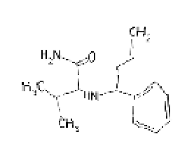 C=CCC(NC(C(N)=O)C(C)C)c1ccccc1